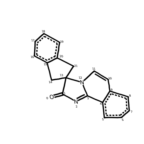 O=C1N=C2c3ccccc3C=CN2C12Cc1ccccc1C2